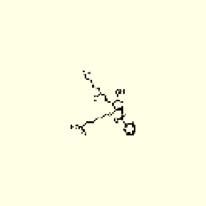 CCCCC[C@H](O)/C=C/[C@@H]1C(SCCCCCC(=O)O)=C(OC(=O)c2ccccc2)C[C@H]1O